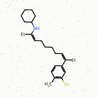 CC/C(=C/CCCC/C=C(/CC)c1ccc(C)c(S)c1)NC1CCCCC1